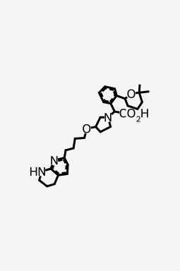 CC1(C)CCCC(c2ccccc2C(C(=O)O)N2CCC(OCCCCc3ccc4c(n3)NCCC4)C2)O1